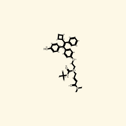 CN(C)C(=O)/C=C/CN(CCOc1ccc(/C(=C(\c2ccccc2)C2CCC2)c2ccc(O)cc2)cc1)C(=O)OC(C)(C)C